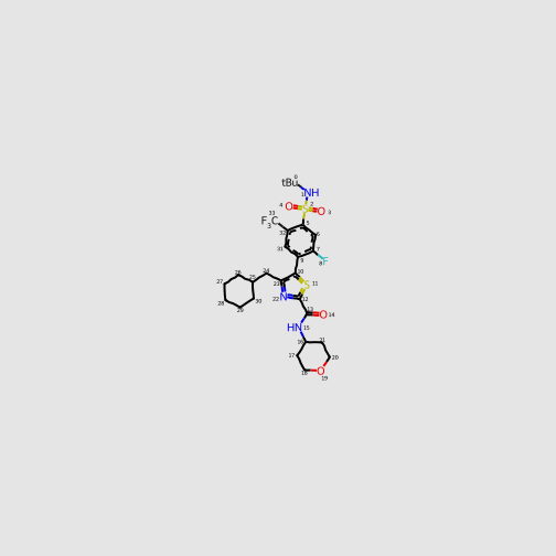 CC(C)(C)NS(=O)(=O)c1cc(F)c(-c2sc(C(=O)NC3CCOCC3)nc2CC2CCCCC2)cc1C(F)(F)F